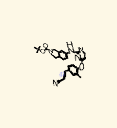 Cc1cc(/C=C/C#N)ccc1Oc1ccnc(Nc2ccc3c(c2)CN(C(=O)OC(C)(C)C)CC3)n1